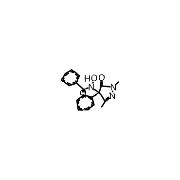 CC1=NN(C)C(=O)C1(c1ccccc1)N(O)C(=O)c1ccccc1